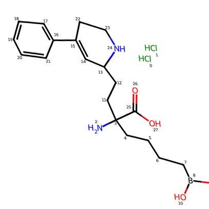 Cl.Cl.NC(CCCCB(O)O)(CCC1C=C(c2ccccc2)CCN1)C(=O)O